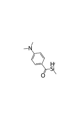 CN(C)c1ccc(C(=O)[SiH](C)C)cc1